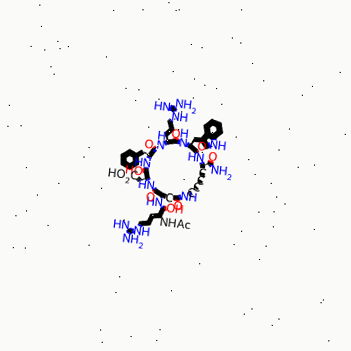 CC(=O)N[C@@H](CCCNC(=N)N)C(O)N[C@H]1CC(=O)NCCCC[C@@H](C(N)=O)NC(=O)[C@H](Cc2c[nH]c3ccccc23)NC(=O)[C@H](CCCNC(=N)N)NC(=O)[C@@H](Cc2ccccc2)NC(O)[C@@H](CC(=O)O)NC1=O